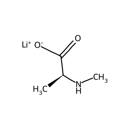 CN[C@@H](C)C(=O)[O-].[Li+]